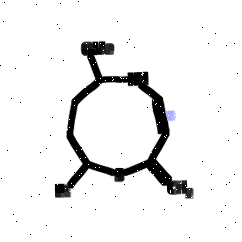 C=C1/C=C\NC(OC)CCC(CC)S1